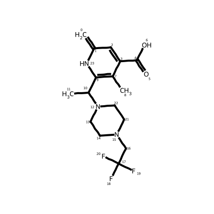 C=C1C=C(C(=O)O)C(C)=C(C(C)N2CCN(CC(F)(F)F)CC2)N1